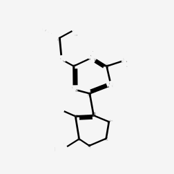 CC[C@@H](Nc1nc(N)nc(C2=C(F)C(O)CCC2)n1)C(F)(F)F